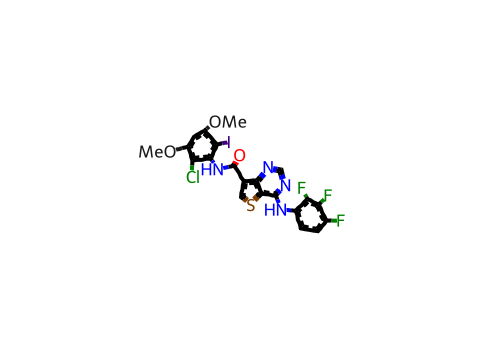 COc1cc(OC)c(I)c(NC(=O)c2csc3c(Nc4ccc(F)c(F)c4F)ncnc23)c1Cl